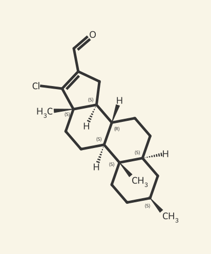 C[C@H]1CC[C@@]2(C)[C@@H](CC[C@@H]3[C@@H]2CC[C@]2(C)C(Cl)=C(C=O)C[C@@H]32)C1